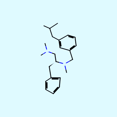 CC(C)Cc1cccc(CN(C)[C@@H](Cc2ccccc2)CN(C)C)c1